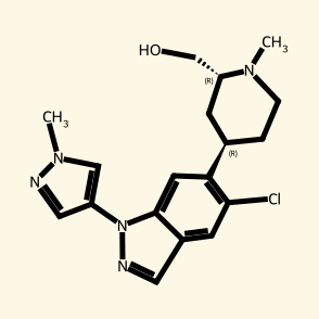 CN1CC[C@@H](c2cc3c(cnn3-c3cnn(C)c3)cc2Cl)C[C@@H]1CO